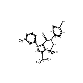 O=C(O)c1nn(-c2cccc(Cl)c2)c2c1C1(CC1)CN(c1ccc(I)cc1)C2=O